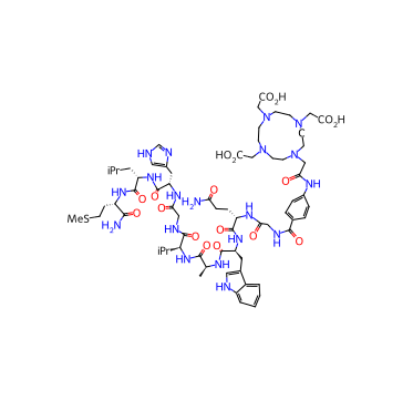 CSCC[C@H](NC(=O)[C@H](CC(C)C)NC(=O)[C@H](Cc1c[nH]cn1)NC(=O)CNC(=O)[C@@H](NC(=O)[C@H](C)NC(=O)[C@H](Cc1c[nH]c2ccccc12)NC(=O)[C@H](CCC(N)=O)NC(=O)CNC(=O)c1ccc(NC(=O)CN2CCN(CC(=O)O)CCN(CC(=O)O)CCN(CC(=O)O)CC2)cc1)C(C)C)C(N)=O